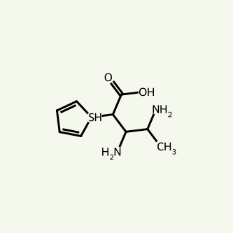 CC(N)C(N)C(C(=O)O)[SH]1C=CC=C1